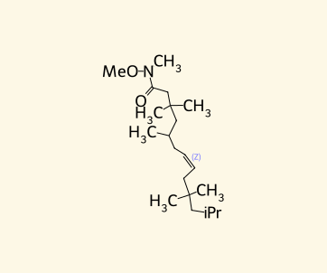 CON(C)C(=O)CC(C)(C)CC(C)C/C=C\CC(C)(C)CC(C)C